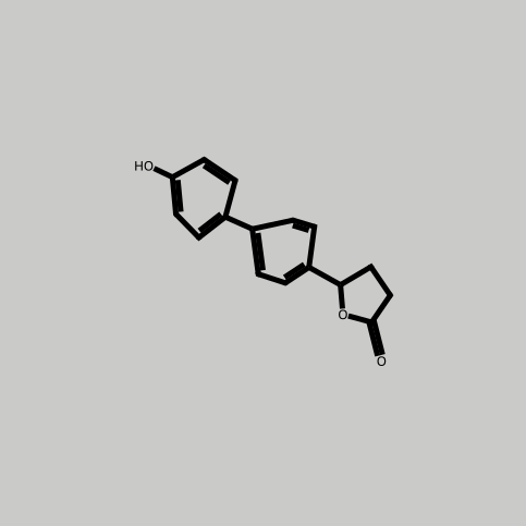 O=C1CCC(c2ccc(-c3ccc(O)cc3)cc2)O1